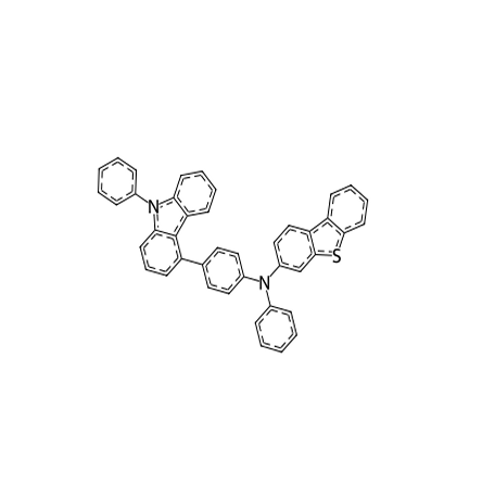 c1ccc(N(c2ccc(-c3cccc4c3c3ccccc3n4-c3ccccc3)cc2)c2ccc3c(c2)sc2ccccc23)cc1